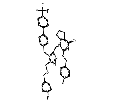 O=c1nc(SCc2ccc(F)cc2)n(Cc2nnc(CSCc3ccc(F)cc3)n2Cc2ccc(-c3ccc(C(F)(F)F)cc3)cc2)c2c1CCC2